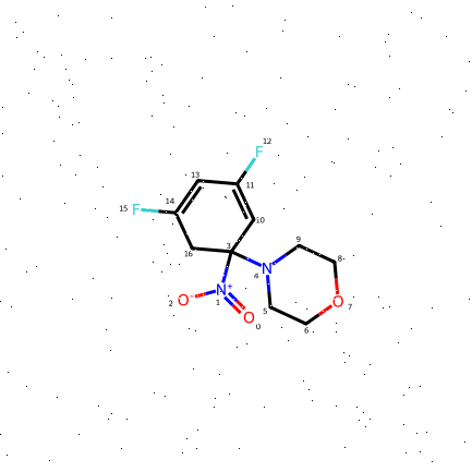 O=[N+]([O-])C1(N2CCOCC2)C=C(F)C=C(F)C1